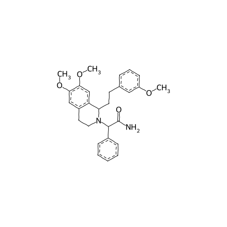 COc1cccc(CCC2c3cc(OC)c(OC)cc3CCN2C(C(N)=O)c2ccccc2)c1